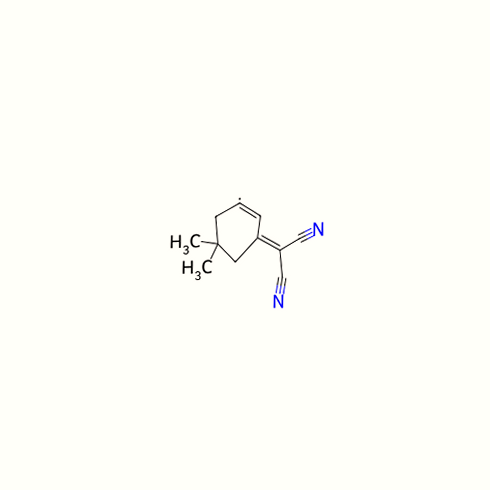 CC1(C)C[C]=CC(=C(C#N)C#N)C1